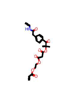 C=CNC(=O)Cc1ccc(C(=O)C(C)(C)OC(=O)CC(=O)OCCOC(=O)C=C)cc1